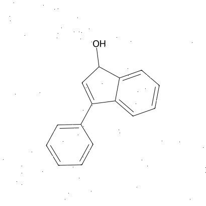 OC1C=C(c2ccccc2)c2ccccc21